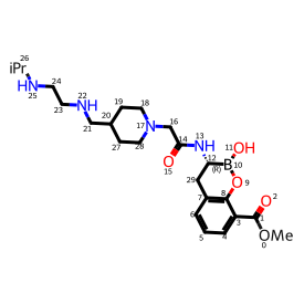 COC(=O)c1cccc2c1OB(O)[C@@H](NC(=O)CN1CCC(CNCCNC(C)C)CC1)C2